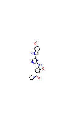 COc1ccc2cc(-c3cncc(Nc4ccc(C(=O)N5CCCC5)cc4OC)n3)[nH]c2c1